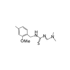 COc1cc(C)ccc1CNC(=S)/N=C/N(C)C